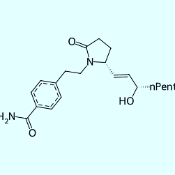 CCCCC[C@H](O)/C=C/[C@H]1CCC(=O)N1CCc1ccc(C(N)=O)cc1